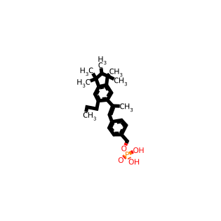 CCCc1cc2c(cc1C(C)=Cc1ccc(COP(=O)(O)O)cc1)C(C)(C)C(C)C2(C)C